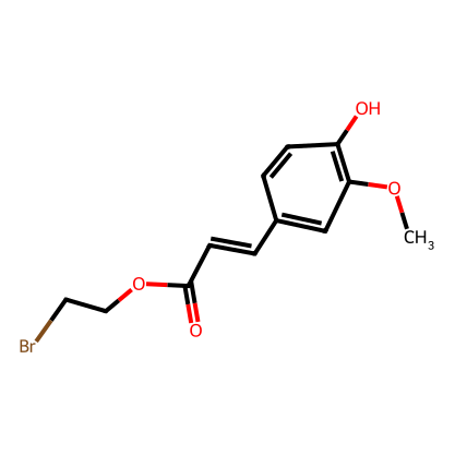 COc1cc(C=CC(=O)OCCBr)ccc1O